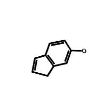 [O]c1ccc2c(c1)CC=C2